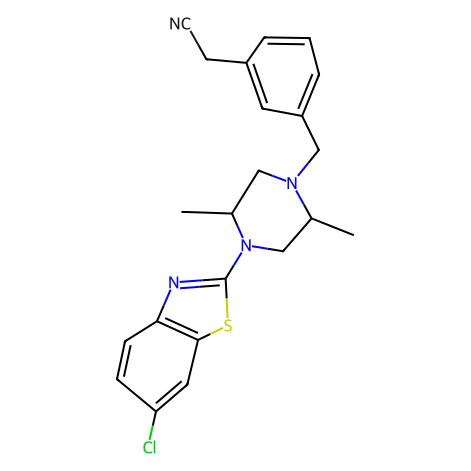 CC1CN(c2nc3ccc(Cl)cc3s2)C(C)CN1Cc1cccc(CC#N)c1